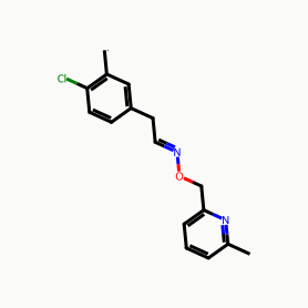 [CH2]c1cc(CC=NOCc2cccc(C)n2)ccc1Cl